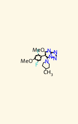 COc1cc(F)c(-c2c(OC)nc3ncnn3c2N2CCC(C)CC2)cc1F